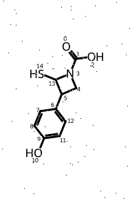 O=C(O)N1CC(c2ccc(O)cc2)C1S